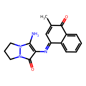 CC1=CC(=Nc2c(N)n3n(c2=O)CCC3)c2ccccc2C1=O